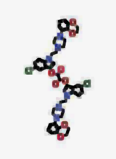 O=C(Oc1cn(CCN2CCN(c3cccc4c3OCCO4)CC2)c2ccc(Cl)cc12)C(=O)Oc1cn(CCN2CCN(c3cccc4c3OCCO4)CC2)c2ccc(Cl)cc12